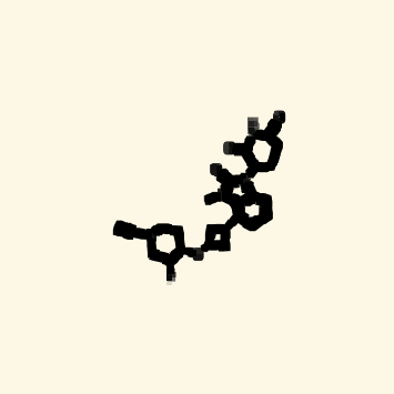 C#CN1CC[C@@H](O[C@H]2C[C@H](c3cccc4c3n(C)c(=O)n4C3CCC(=O)NC3=O)C2)[C@@H](F)C1